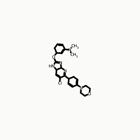 CN(C)C1=CC(OC2=NC3N=C(C4C=CC(N5CCOCC5)=CC4)C(Cl)=CC3N2)CC=C1